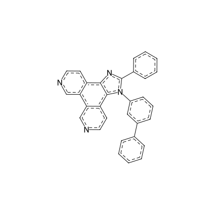 c1ccc(-c2cccc(-n3c(-c4ccccc4)nc4c5ccncc5c5cnccc5c43)c2)cc1